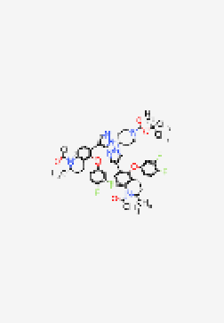 CC(=O)N1c2ccc(-c3cnn(C4(n5cc(-c6ccc7c(c6Oc6ccc(F)c(F)c6)CC[C@H](C)N7C(C)=O)cn5)CCN(C(=O)OC(C)(C)C)CC4)c3)c(Oc3ccc(F)c(F)c3)c2CC[C@@H]1C